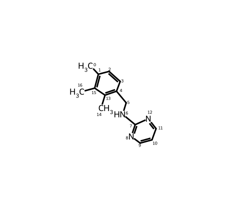 Cc1ccc(CNc2ncccn2)c(C)c1C